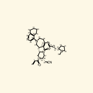 C=CC(=O)N1CCN(c2nc(OC[C@@H]3CCCN3C)nc3c2CCN(c2cncc4c2CCCC4)CC3)C[C@@H]1CC#N